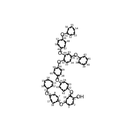 Oc1ccc(Oc2ccc(Oc3ccccc3)cc2)cc1Oc1ccc(Oc2ccc(Oc3ccc(Oc4ccccc4)cc3Oc3ccc(Oc4ccccc4)cc3)cc2)cc1